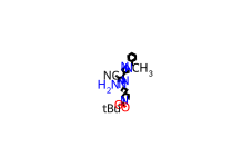 CC(c1ccccc1)n1cc(-c2nn([C@H]3C[C@@]4(CCN(C(=O)OC(C)(C)C)C4)C3)c(N)c2C#N)cn1